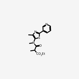 CCOC(=O)C(C)C(=O)N(C)c1sc(-c2cccnc2)nc1C